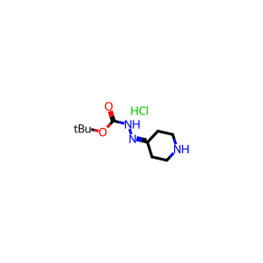 CC(C)(C)OC(=O)NN=C1CCNCC1.Cl